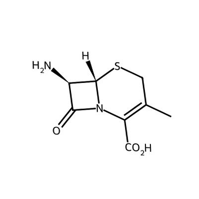 CC1=C(C(=O)O)N2C(=O)[C@@H](N)[C@@H]2SC1